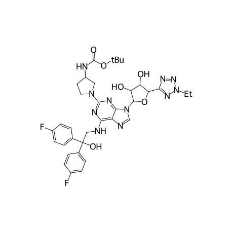 CCn1nnc(C2OC(n3cnc4c(NCC(O)(c5ccc(F)cc5)c5ccc(F)cc5)nc(N5CCC(NC(=O)OC(C)(C)C)C5)nc43)C(O)C2O)n1